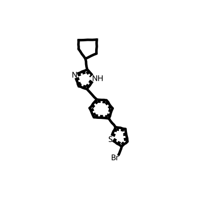 Brc1ccc(-c2ccc(-c3cnc(C4CCCC4)[nH]3)cc2)s1